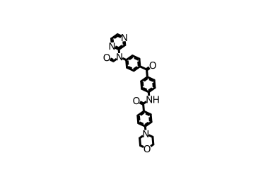 O=CN(c1ccc(C(=O)c2ccc(NC(=O)c3ccc(N4CCOCC4)cc3)cc2)cc1)c1cnccn1